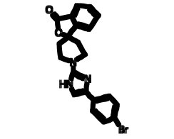 O=C1OC2(CCN(c3nc(-c4ccc(Br)cc4)c[nH]3)CC2)c2ccccc21